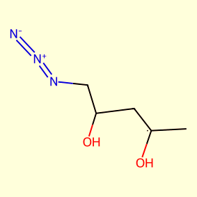 C[C](O)CC(O)CN=[N+]=[N-]